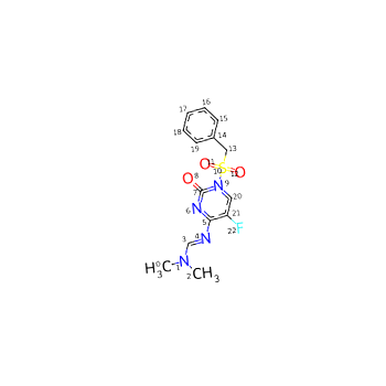 CN(C)/C=N/c1nc(=O)n(S(=O)(=O)Cc2ccccc2)cc1F